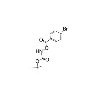 CC(C)(C)OC(=O)NOC(=O)c1ccc(Br)cc1